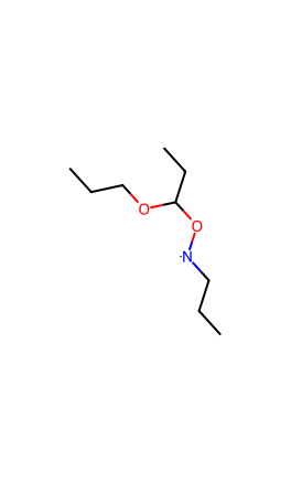 CCC[N]OC(CC)OCCC